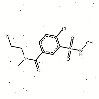 CN(CCN)C(=O)c1ccc(Cl)c(S(=O)(=O)NO)c1